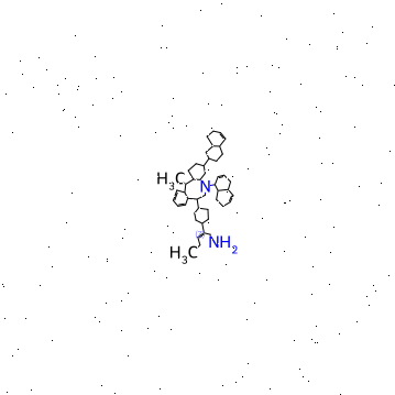 CC/C=C(\CN)C1CCC(C2CN(C3C=CCC4C=CCCC43)C3CC(C4CCC5C=CCCC5C4)CCC3C(C)C3C=CC=CC32)CC1